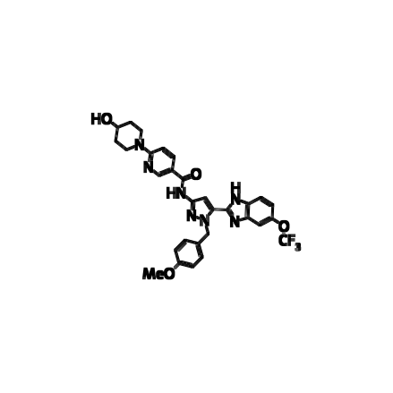 COc1ccc(Cn2nc(NC(=O)c3ccc(N4CCC(O)CC4)nc3)cc2-c2nc3cc(OC(F)(F)F)ccc3[nH]2)cc1